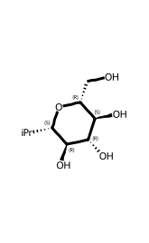 CC(C)[C@@H]1O[C@H](CO)[C@@H](O)[C@H](O)[C@H]1O